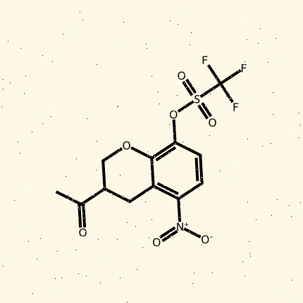 CC(=O)C1COc2c(OS(=O)(=O)C(F)(F)F)ccc([N+](=O)[O-])c2C1